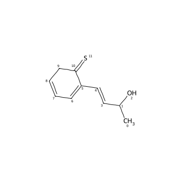 CC(O)C=CC1=CC=CCC1=S